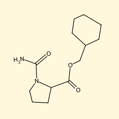 NC(=O)N1CCCC1C(=O)OCC1CCCCC1